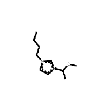 CCCCn1cc[n+](C(C)OC)c1